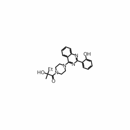 CCC(C)(O)C(=O)N1CCN(c2nc(-c3ccccc3O)nc3ccccc23)CC1